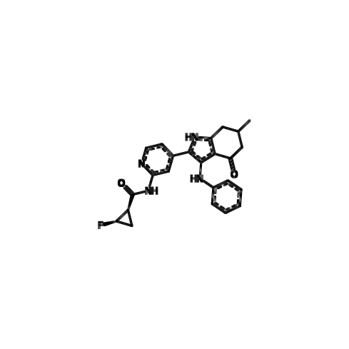 CC1CC(=O)c2c([nH]c(-c3ccnc(NC(=O)[C@H]4C[C@H]4F)c3)c2Nc2ccccc2)C1